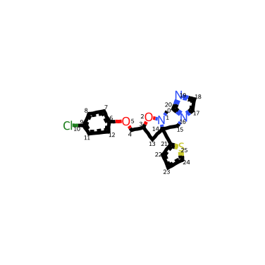 CN1OC(COc2ccc(Cl)cc2)CC1(Cn1ccnc1)c1cccs1